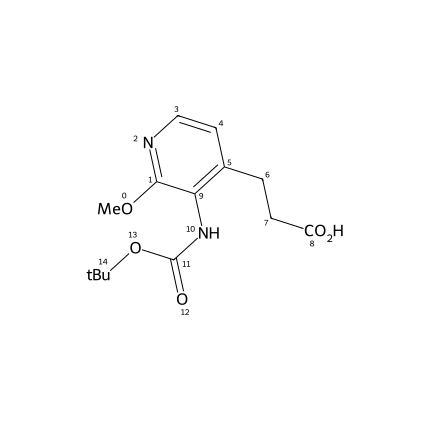 COc1nccc(CCC(=O)O)c1NC(=O)OC(C)(C)C